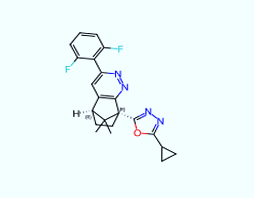 CC1(C)[C@H]2CC[C@]1(c1nnc(C3CC3)o1)c1nnc(-c3c(F)cccc3F)cc12